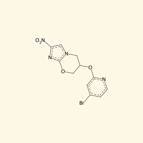 O=[N+]([O-])c1cn2c(n1)OCC(Oc1cc(Br)ccn1)C2